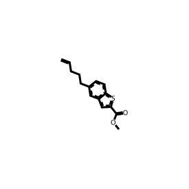 C=CCCCc1ccc2sc(C(=O)OC)cc2c1